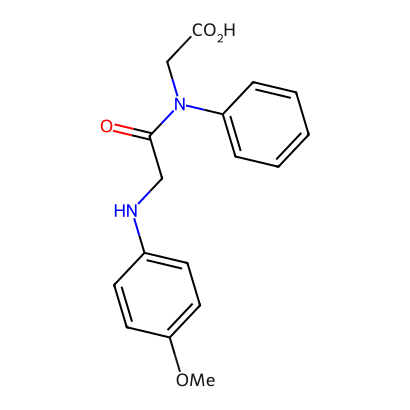 COc1ccc(NCC(=O)N(CC(=O)O)c2ccccc2)cc1